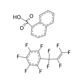 FC(F)=C(F)C(F)(F)c1c(F)c(F)c(F)c(F)c1F.O=S(=O)(O)c1cccc2ccccc12